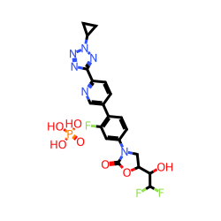 O=C1OC(C(O)C(F)F)CN1c1ccc(-c2ccc(-c3nnn(C4CC4)n3)nc2)c(F)c1.O=P(O)(O)O